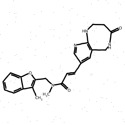 Cc1c(CN(C)C(=O)/C=C/c2cnc3c(c2)CNC(=O)CCN3)oc2ccccc12